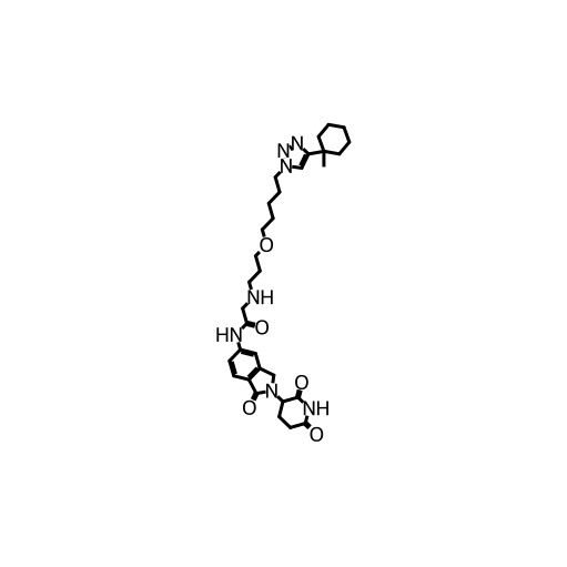 CC1(c2cn(CCCCCOCCCNCC(=O)Nc3ccc4c(c3)CN(C3CCC(=O)NC3=O)C4=O)nn2)CCCCC1